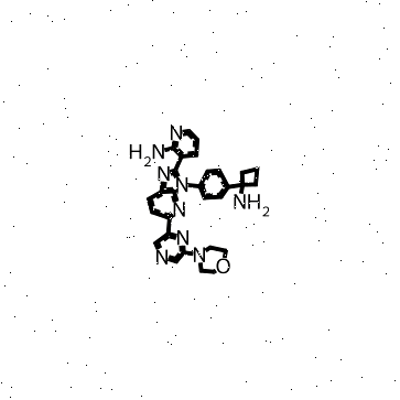 Nc1ncccc1-c1nc2ccc(-c3cncc(N4CCOCC4)n3)nc2n1-c1ccc(C2(N)CCC2)cc1